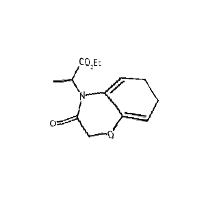 CCOC(=O)C(C)N1C(=O)COC2=CCCC=C21